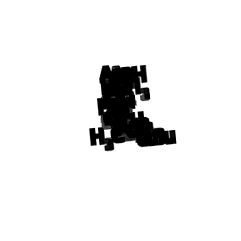 CC(=O)[C@@]1(O)CC[C@@]2(C)[C@H](CC[C@@H]3[C@@H]2CC[C@]2(C)[C@@H]([C@H](C)CCC(=O)OC(C)(C)C)CC[C@@H]32)C1